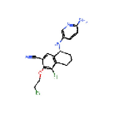 N#Cc1cc2c(c(Cl)c1OCCCl)CCCC2Nc1ccc(N)nc1